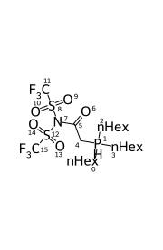 CCCCCC[PH](CCCCCC)(CCCCCC)CC(=O)N(S(=O)(=O)C(F)(F)F)S(=O)(=O)C(F)(F)F